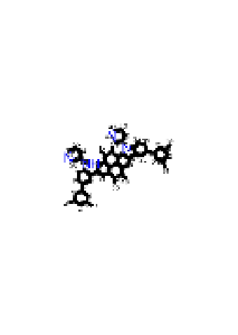 CC1=CC(C)CC(C2=CC(c3cc4c5c(c3)C(C)C(C)c3c-5c(cc5c6cc(-c7cc(C)cc(C)c7)ccc6n(-c6cccnc6)c35)C(C)C4C)=C(Nc3cccnc3)CC2)=C1